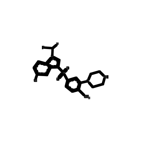 Cc1ccc(S(=O)(=O)c2cn(C(F)F)c3ccc(Cl)cc23)cc1N1CCNCC1